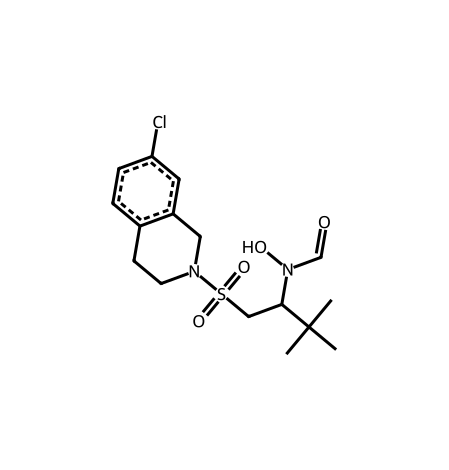 CC(C)(C)C(CS(=O)(=O)N1CCc2ccc(Cl)cc2C1)N(O)C=O